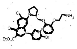 CCOC(=O)c1cn(-c2ccc(Br)nc2)c2cc(N3CCC[C@@H]3COc3ncccc3OCCN)c(Cl)cc2c1=O